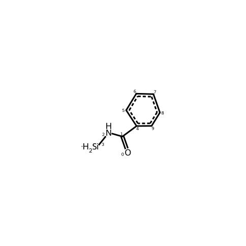 O=C(N[SiH2])c1ccccc1